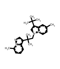 Cc1ccn2c(c1)c(C(C)(C)C)c[n+]2CC(C)(C)c1cnn2c(C)cccc12